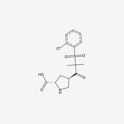 CC(C)(C(=O)[C@H]1CN[C@H](C(=O)O)C1)S(=O)(=O)c1ccccc1Cl